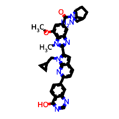 COc1cc(C(=O)N2CC3CCC2C3N)cc2nc(-c3cc4ccc(-c5ccc6c(O)ncnc6c5)nc4n3CC3CC3)n(C)c12